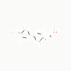 Cc1cc(-c2cc(C)c(OC(C)(C)C3CO3)c(C)c2)cc(C)c1O